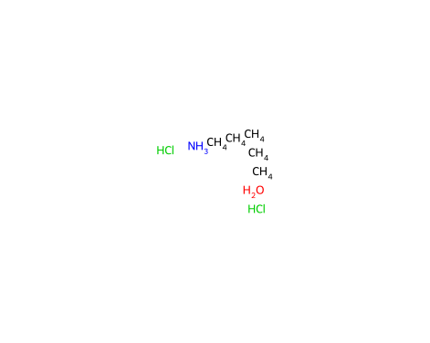 C.C.C.C.C.Cl.Cl.N.O